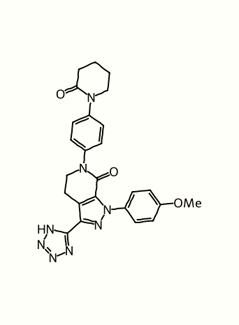 COc1ccc(-n2nc(-c3nnn[nH]3)c3c2C(=O)N(c2ccc(N4CCCCC4=O)cc2)CC3)cc1